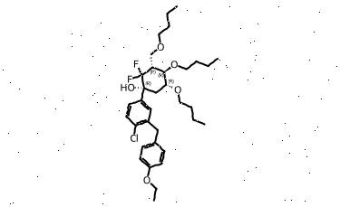 CCCCOC[C@@H]1[C@@H](OCCCC)[C@H](OCCCC)C[C@@](O)(c2ccc(Cl)c(Cc3ccc(OCC)cc3)c2)C1(F)F